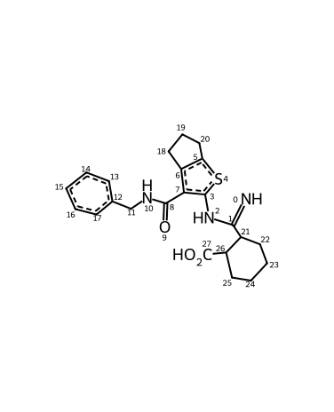 N=C(Nc1sc2c(c1C(=O)NCc1ccccc1)CCC2)C1CCCCC1C(=O)O